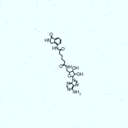 Nc1ncnc2c1ncn2C1OC(CNC(=O)CCCCC(=O)Nc2cccc3c2CNC3=O)C(O)C1O